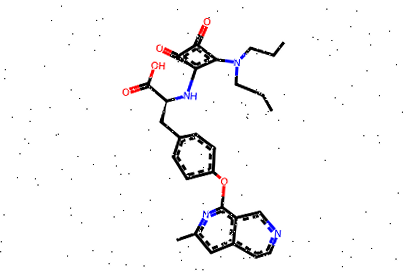 CCCN(CCC)c1c(N[C@@H](Cc2ccc(Oc3nc(C)cc4ccncc34)cc2)C(=O)O)c(=O)c1=O